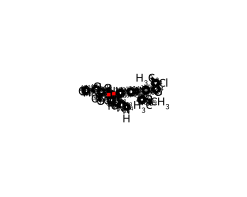 Cc1cc(Cl)c2c(c1)[C@@H](N1CCN(C3CC4(CCN(c5ccc(C(=O)NS(=O)(=O)c6cc7c(c([N+](=O)[O-])c6)N[C@H](C6CCOCC6)CO7)c(N6c7cc8cc[nH]c8nc7O[C@H]7COCC[C@@H]76)c5)CC4)C3)[C@H](c3ccccc3OC(C)C)C1)COC2